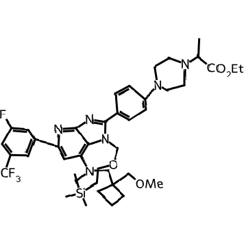 CCOC(=O)C(C)N1CCN(c2ccc(-c3nc4nc(-c5cc(F)cc(C(F)(F)F)c5)cc(N(C)CC5(COC)CCC5)c4n3COCC[Si](C)(C)C)cc2)CC1